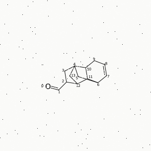 O=CC1CC23CC4C=CCC2C4C1C3